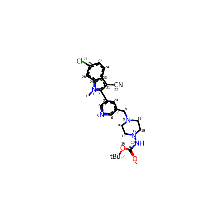 Cn1c(-c2cncc(CN3CCN(NC(=O)OC(C)(C)C)CC3)c2)c(C#N)c2ccc(Cl)cc21